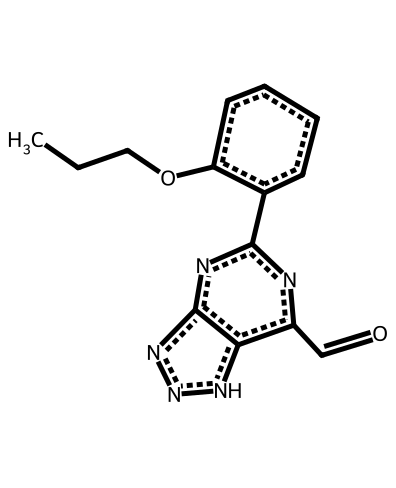 CCCOc1ccccc1-c1nc(C=O)c2[nH]nnc2n1